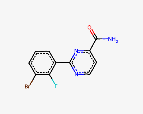 NC(=O)c1ccnc(-c2cccc(Br)c2F)n1